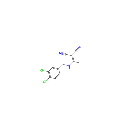 CC(NCc1ccc(Cl)c(Cl)c1)=C(C#N)C#N